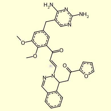 COc1cc(Cc2cnc(N)nc2N)cc(C(=O)/C=C/N2N=Cc3ccccc3C2CC(=O)c2ccco2)c1OC